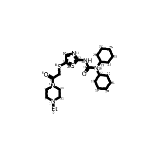 CCN1CCN(C(=O)CSc2cnc(NC(=O)N(C3CCCCC3)C3CCCCC3)s2)CC1